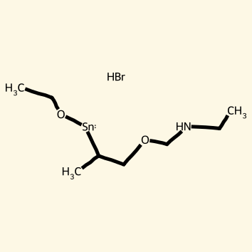 Br.CCNCOC[CH](C)[Sn][O]CC